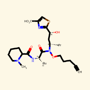 C#CCCCON(C(=O)[C@@H](NC(=O)C1CCCCN1C)[C@@H](C)CC)[C@H](C[C@@H](O)c1nc(C(=O)O)cs1)C(C)C